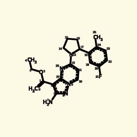 C=C(OCC)c1c(N)nn2ccc(N3CCCC3c3cc(F)ccc3C)nc12